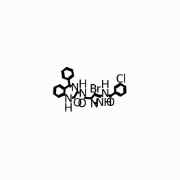 O=C(Nc1[nH]nc(C(=O)NC2N=C(c3ccccc3)c3ccccc3NC2=O)c1Br)c1cccc(Cl)c1